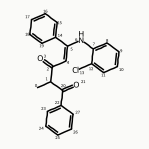 CC(C(=O)/C=C(/Nc1ccccc1Cl)c1ccccc1)C(=O)c1ccccc1